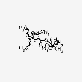 CCO[Si](CCCS[Si](C)(C)C(C)(C)C)(OCC)OCC